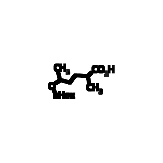 CCCCCCOC(C)CCC(C)C(=O)O